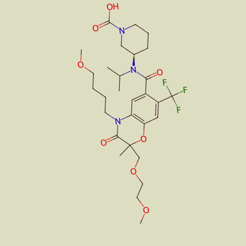 COCCCCN1C(=O)C(C)(COCCOC)Oc2cc(C(F)(F)F)c(C(=O)N(C(C)C)[C@@H]3CCCN(C(=O)O)C3)cc21